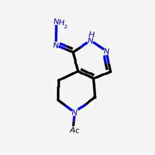 CC(=O)N1CCc2c(cn[nH]/c2=N\N)C1